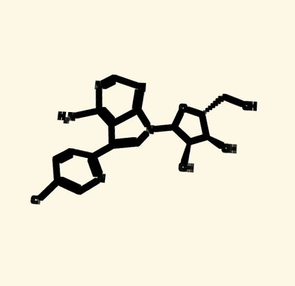 Nc1ncnc2c1c(-c1ccc(Cl)cn1)cn2C1O[C@H](CO)[C@@H](O)[C@H]1O